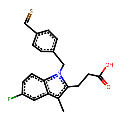 Cc1c(CCC(=O)O)n(Cc2ccc(C=S)cc2)c2ccc(F)cc12